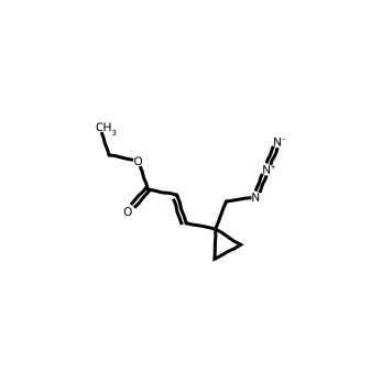 CCOC(=O)/C=C/C1(CN=[N+]=[N-])CC1